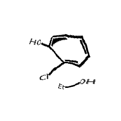 CCO.Oc1ccccc1Cl